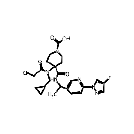 CC(NC(=O)C1(N(CC2CC2)C(=O)CCl)CCN(C(=O)O)CC1)c1ccc(-n2cc(F)cn2)nc1